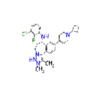 CC1=C2c3ccc(C4=CCN(C5CCC5)CC4)cc3C(Nc3cccc(Cl)c3F)CCN2NN1C